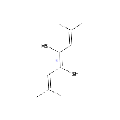 CC(C)=C/C(S)=C(\S)C=C(C)C